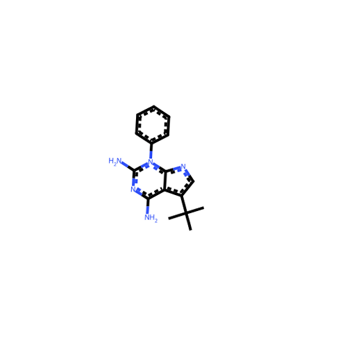 CC(C)(C)c1cnc2n(-c3ccccc3)c(N)nc(N)c1-2